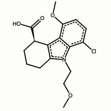 COCCn1c2c(c3c(OC)ccc(Cl)c31)[C@H](C(=O)O)CCC2